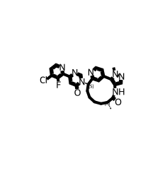 C[C@@H]1CCCC[C@H](n2cnc(-c3nccc(Cl)c3F)cc2=O)c2cc(ccn2)-c2c(cnn2C)NC1=O